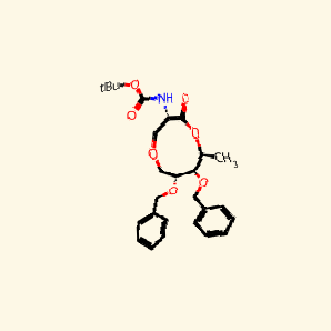 C[C@@H]1OC(=O)[C@@H](NC(=O)OC(C)(C)C)COC[C@@H](OCc2ccccc2)[C@@H]1OCc1ccccc1